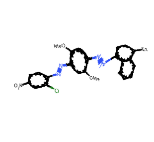 CCc1ccc(N=Nc2cc(OC)c(N=Nc3ccc([N+](=O)[O-])cc3Cl)cc2OC)c2ccccc12